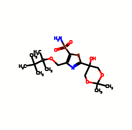 CC1(C)OCC(O)(c2nc(CO[Si](C)(C)C(C)(C)C)c(S(N)(=O)=O)s2)CO1